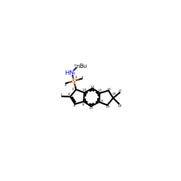 CCCCNS(C)(C)C1C(C)=Cc2cc3c(cc21)CC(C)(C)C3